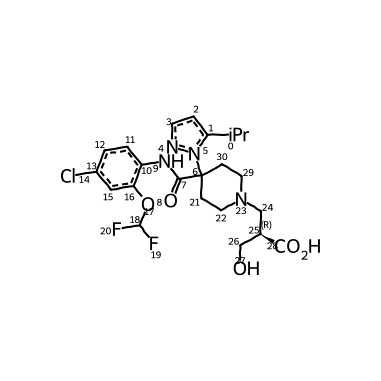 CC(C)c1ccnn1C1(C(=O)Nc2ccc(Cl)cc2OC(F)F)CCN(C[C@H](CO)C(=O)O)CC1